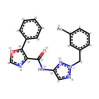 CC(=O)c1cccc(Cn2ncc(NC(=O)c3ncoc3-c3ccccc3)n2)c1